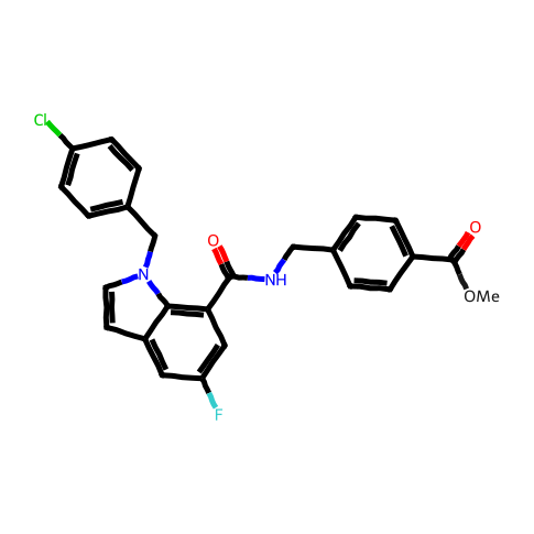 COC(=O)c1ccc(CNC(=O)c2cc(F)cc3ccn(Cc4ccc(Cl)cc4)c23)cc1